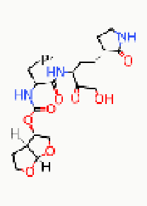 CC(C)C[C@H](NC(=O)O[C@H]1CO[C@H]2OCC[C@H]21)C(=O)N[C@@H](CC[C@@H]1CCNC1=O)C(=O)CO